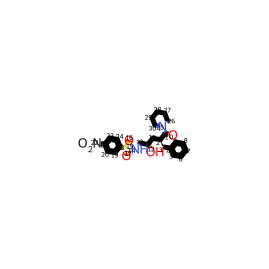 O=C([C@H](Cc1ccccc1)C[C@H](O)CNS(=O)(=O)c1ccc([N+](=O)[O-])cc1)N1CCCCC1